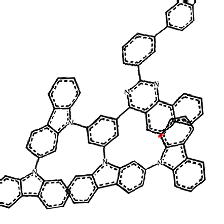 COc1ccc(-c2cccc(-c3nc(-c4cc(-n5c6ccccc6c6ccc(-n7c8ccccc8c8ccccc87)cc65)cc(-n5c6ccccc6c6ccc(-n7c8ccccc8c8ccccc87)cc65)c4)c4ccc5ccccc5c4n3)c2)cc1